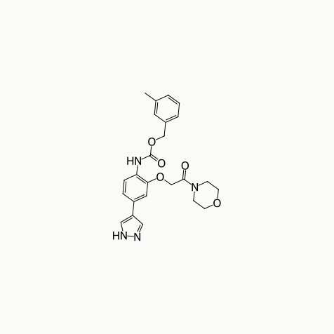 Cc1cccc(COC(=O)Nc2ccc(-c3cn[nH]c3)cc2OCC(=O)N2CCOCC2)c1